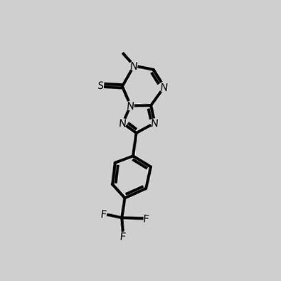 Cn1cnc2nc(-c3ccc(C(F)(F)F)cc3)nn2c1=S